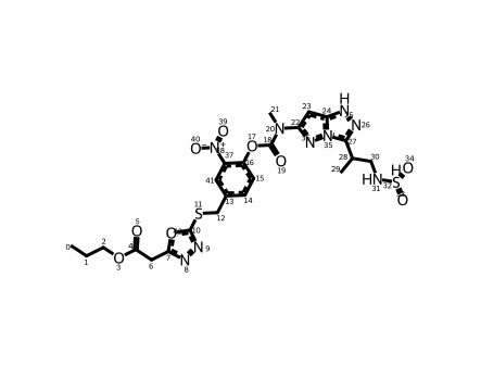 CCCOC(=O)Cc1nnc(SCc2ccc(OC(=O)N(C)c3cc4[nH]nc(C(C)CN[SH](=O)=O)n4n3)c([N+](=O)[O-])c2)o1